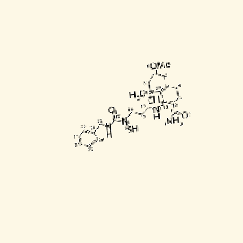 COC1Cc2ccc(C(N)=O)c(NCCCN(S)C(=O)NCc3ccccc3)c2C(C)(C)C1